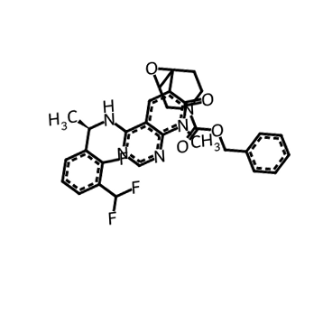 C[C@@H](Nc1ncnc2c1cc(C13CCN(C(=O)OCc4ccccc4)CC1O3)c(=O)n2C)c1cccc(C(F)F)c1F